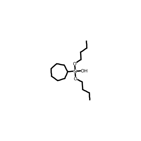 CCCCO[Si](O)(OCCCC)C1CCCCCC1